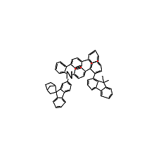 CC1(C)c2ccccc2-c2cccc(-c3ccccc3-c3ccc(N(c4ccc5c(c4)C4(CC6CCC4C6)c4ccccc4-5)c4ccccc4-c4ccc(-c5ccccc5)cc4)cc3)c21